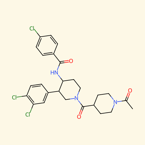 CC(=O)N1CCC(C(=O)N2CCC(NC(=O)c3ccc(Cl)cc3)C(c3ccc(Cl)c(Cl)c3)C2)CC1